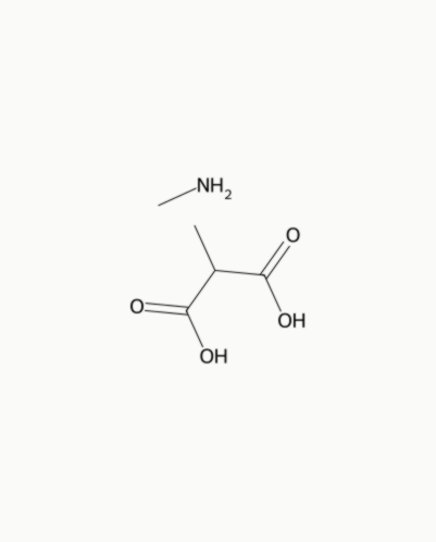 CC(C(=O)O)C(=O)O.CN